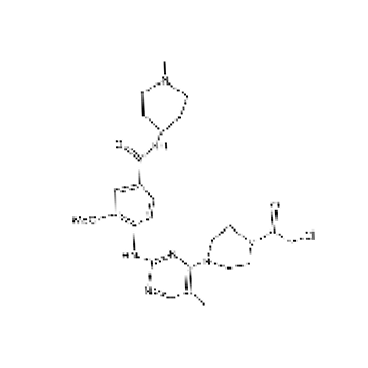 COc1cc(C(=O)NC2CCN(C)CC2)ccc1Nc1ncc(C)c(N2CCN(C(=O)CCl)CC2)n1